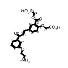 NCCOc1cccc(C(=O)/C=C/c2ccc(OCC(=O)O)c(C(=O)OCC(=O)O)c2)c1